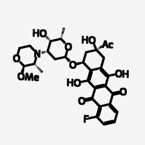 CO[C@H]1OCCN([C@H]2C[C@H](O[C@H]3C[C@](O)(C(C)=O)Cc4c(O)c5c(c(O)c43)C(=O)c3c(F)cccc3C5=O)O[C@@H](C)[C@H]2O)[C@@H]1C